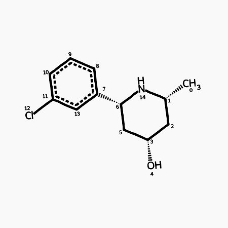 C[C@@H]1C[C@H](O)C[C@H](c2cccc(Cl)c2)N1